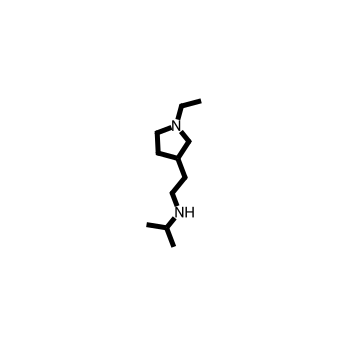 CCN1CCC(CCNC(C)C)C1